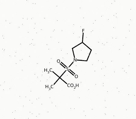 CC(C)(C(=O)O)S(=O)(=O)N1CCC(F)C1